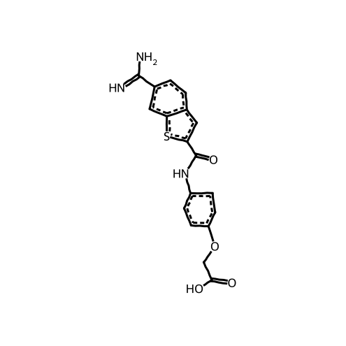 N=C(N)c1ccc2cc(C(=O)Nc3ccc(OCC(=O)O)cc3)sc2c1